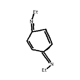 CCN=C1C=CC(=NCC)C=C1